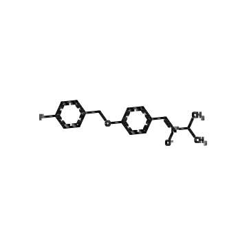 CC(C)[N+]([O-])=Cc1ccc(OCc2ccc(F)cc2)cc1